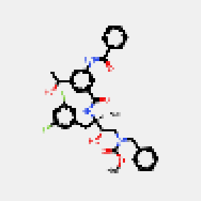 CO[C@](Cc1cc(F)cc(F)c1)(NC(=O)c1cc(NC(=O)c2ccccc2)cc(C(C)O)c1)[C@H](O)CN(Cc1ccccc1)C(=O)OC(C)(C)C